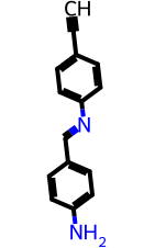 C#Cc1ccc(N=Cc2ccc(N)cc2)cc1